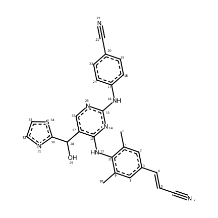 Cc1cc(/C=C/C#N)cc(C)c1Nc1nc(Nc2ccc(C#N)cc2)ncc1C(O)c1nccs1